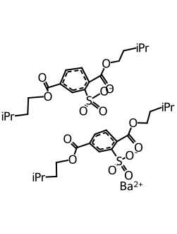 CC(C)CCOC(=O)c1ccc(C(=O)OCCC(C)C)c(S(=O)(=O)[O-])c1.CC(C)CCOC(=O)c1ccc(C(=O)OCCC(C)C)c(S(=O)(=O)[O-])c1.[Ba+2]